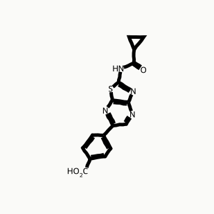 O=C(O)c1ccc(-c2cnc3nc(NC(=O)C4CC4)sc3n2)cc1